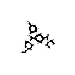 CCN1CCN(C(=Nc2cccc(Cl)c2)c2ccc(C(=O)N(CC)CC)cc2)CC1